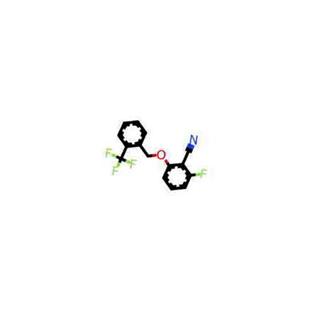 N#Cc1c(F)cccc1OCc1ccccc1C(F)(F)F